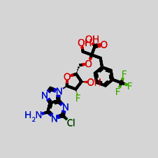 Nc1nc(Cl)nc2c1ncn2[C@@H]1O[C@H](COC(CO)(Cc2cccc(C(F)(F)F)c2)C(=O)O)[C@@H](O)[C@@H]1F